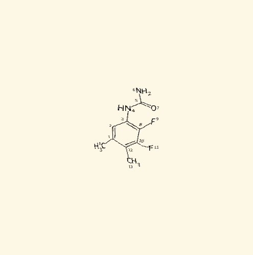 Cc1[c]c(NC(N)=O)c(F)c(F)c1C